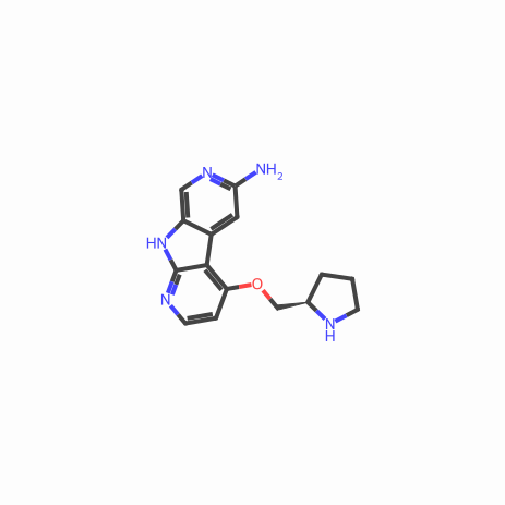 Nc1cc2c(cn1)[nH]c1nccc(OC[C@H]3CCCN3)c12